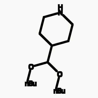 CCCCOC(OCCCC)C1CCNCC1